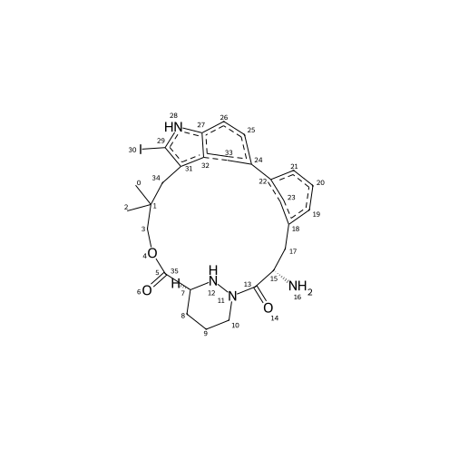 CC1(C)COC(=O)[C@@H]2CCCN(N2)C(=O)[C@@H](N)Cc2cccc(c2)-c2ccc3[nH]c(I)c(c3c2)C1